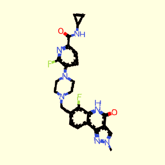 Cn1cc2c(=O)[nH]c3c(F)c(CN4CCN(c5ccc(C(=O)NC6CC6)nc5F)CC4)ccc3c2n1